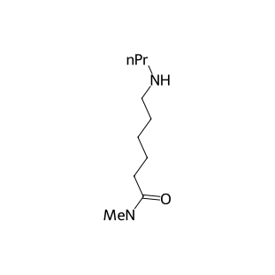 CCCNCCCCCC(=O)NC